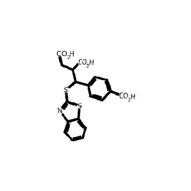 O=C(O)CC(C(=O)O)C(Sc1nc2ccccc2s1)c1ccc(C(=O)O)cc1